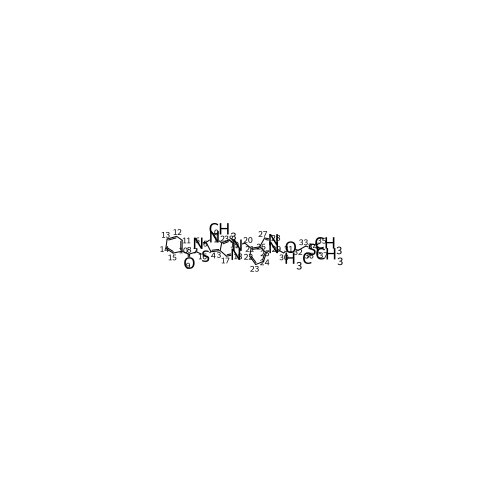 Cn1c2c(c3c1=NC(C(=O)c1ccccc1)S3)C=NN(Cc1cccc3c1cnn3COCC[Si](C)(C)C)C=2